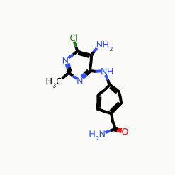 Cc1nc(Cl)c(N)c(Nc2ccc(C(N)=O)cc2)n1